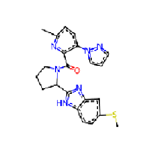 CSc1ccc2[nH]c(C3CCCN3C(=O)c3nc(C)ccc3-n3cccn3)nc2c1